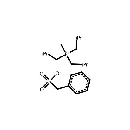 CC(C)C[P+](C)(CC(C)C)CC(C)C.O=S(=O)([O-])Cc1ccccc1